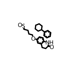 O=S=CCCCOc1ccc2c(c1)CCC(=O)N2.c1ccc(C2CCCCC2)cc1